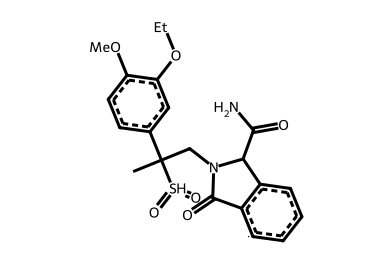 CCOc1cc(C(C)(CN2C(=O)c3[c]cccc3C2C(N)=O)[SH](=O)=O)ccc1OC